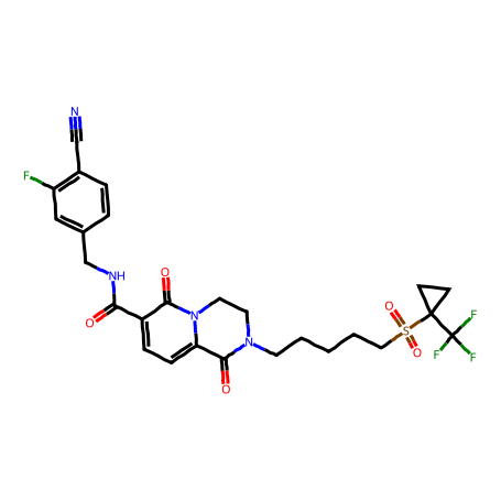 N#Cc1ccc(CNC(=O)c2ccc3n(c2=O)CCN(CCCCCS(=O)(=O)C2(C(F)(F)F)CC2)C3=O)cc1F